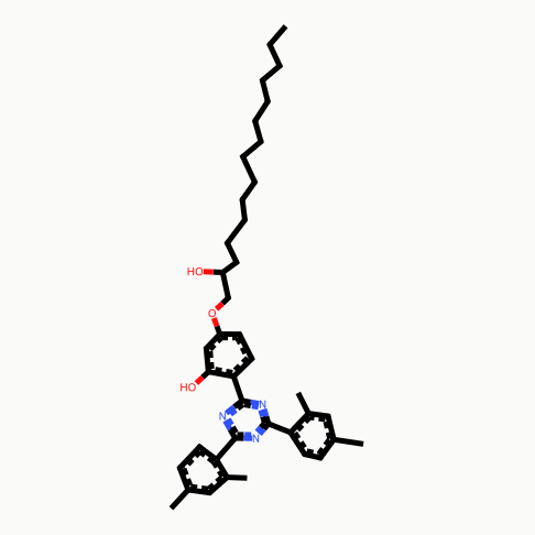 CCCCCCCCCCCCCC(O)COc1ccc(-c2nc(-c3ccc(C)cc3C)nc(-c3ccc(C)cc3C)n2)c(O)c1